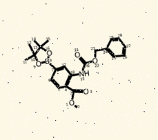 COC(=O)c1ccc(B2OC(C)(C)C(C)(C)O2)cc1NC(=O)OCc1ccccc1